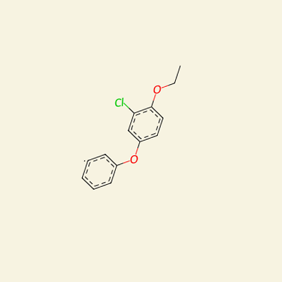 CCOc1ccc(Oc2c[c]ccc2)cc1Cl